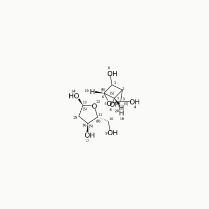 OC1C2[C@@H](O)O[C@H]1[C@H]2O.OC[C@H]1O[C@H](O)C[C@@H]1O